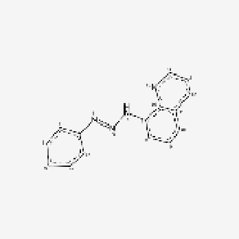 c1ccc(N=NNc2cccc3cccnc23)cc1